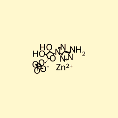 Nc1ncnc2c1ncn2[C@@H]1O[C@H](COP(=O)([O-])[O-])[C@@H](O)[C@H]1O.[Zn+2]